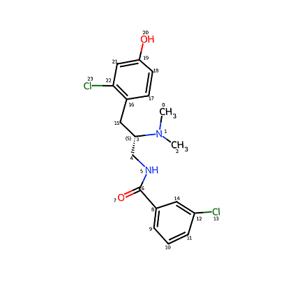 CN(C)[C@H](CNC(=O)c1cccc(Cl)c1)Cc1ccc(O)cc1Cl